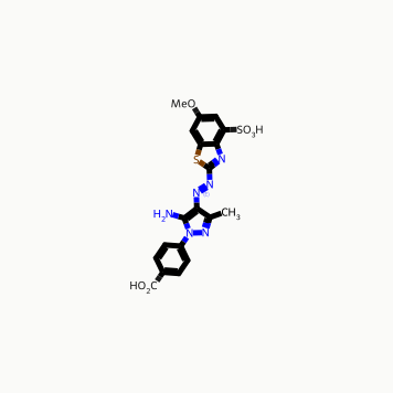 COc1cc(S(=O)(=O)O)c2nc(/N=N/c3c(C)nn(-c4ccc(C(=O)O)cc4)c3N)sc2c1